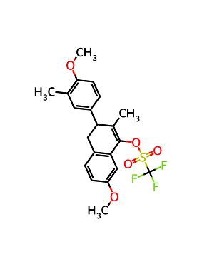 COc1ccc2c(c1)C(OS(=O)(=O)C(F)(F)F)=C(C)C(c1ccc(OC)c(C)c1)C2